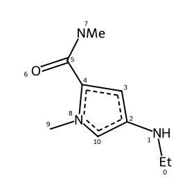 CCNc1cc(C(=O)NC)n(C)c1